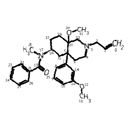 C=CCN1CCC2(c3cccc(OC)c3)C[C@@H](N(C)C(=O)c3ccccc3)CCC2(OC)C1